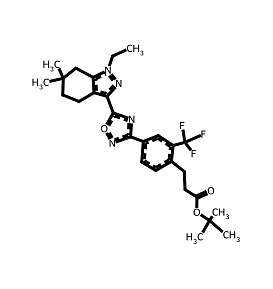 CCn1nc(-c2nc(-c3ccc(CCC(=O)OC(C)(C)C)c(C(F)(F)F)c3)no2)c2c1CC(C)(C)CC2